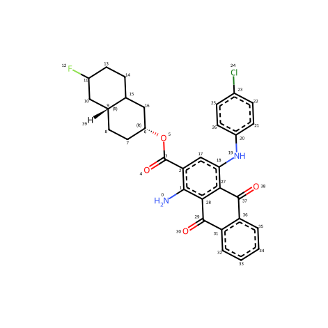 Nc1c(C(=O)O[C@@H]2CC[C@@H]3CC(F)CCC3C2)cc(Nc2ccc(Cl)cc2)c2c1C(=O)c1ccccc1C2=O